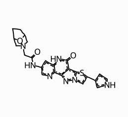 O=C(CN1CC2CCC(C1)O2)Nc1cnc2c(c1)[nH]c(=O)c1c2nn2cc(-c3cc[nH]c3)sc12